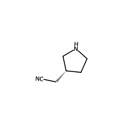 N#CC[C@H]1CCNC1